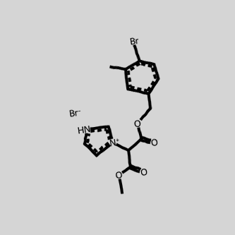 COC(=O)C(C(=O)OCc1ccc(Br)c(C)c1)[n+]1cc[nH]c1.[Br-]